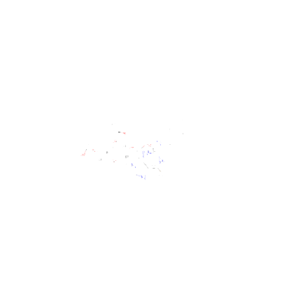 CCCCCCCNc1nc2c(ncn2[C@@H]2O[C@H](COC(C)=O)[C@H](OC(C)=O)C2OC(C)=O)c(=S)[nH]1